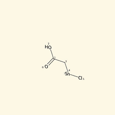 O=C(O)[CH2][Sn][Cl]